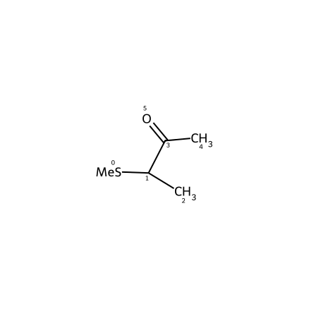 CSC(C)C(C)=O